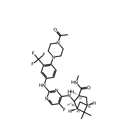 CNC(=O)[C@H]1C[C@H]2C[C@H](C2(C)C)[C@@]1(C)Nc1nc(Nc2ccc(N3CCN(C(C)=O)CC3)c(C(F)(F)F)c2)ncc1F